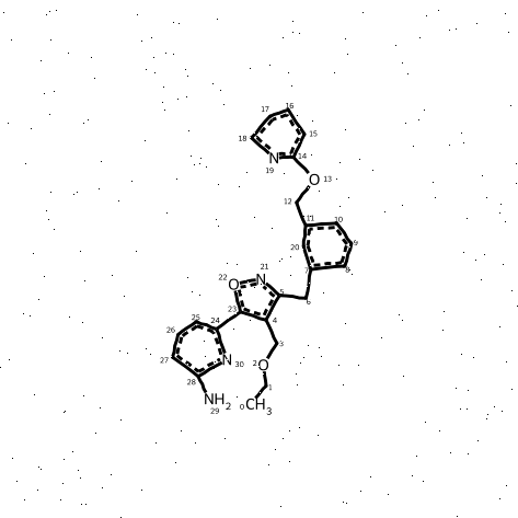 CCOCc1c(Cc2cccc(COc3ccccn3)c2)noc1-c1cccc(N)n1